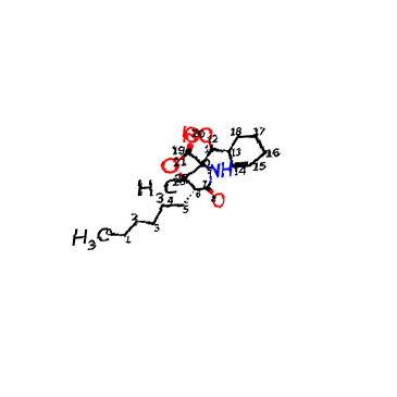 CCCCCC[C@H]1C(=O)N[C@@]2(C(O)[C@@H]3C=CCCC3)C(=O)O[C@@]12C